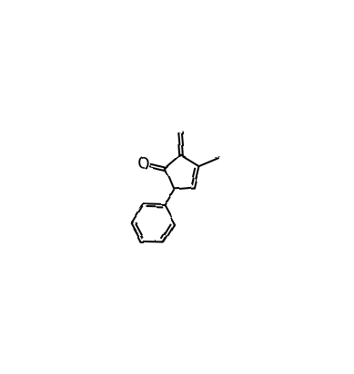 C=C1C(=O)C(c2ccccc2)C=C1C